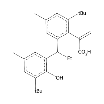 C=C(C(=O)O)c1c(C(CC)c2cc(C)cc(C(C)(C)C)c2O)cc(C)cc1C(C)(C)C